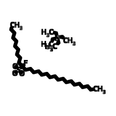 CCCCCCCCCCCCCCCCCCC(F)(CCCCCCCCCC)S(=O)(=O)[O-].CC[N+](CC)(CC)CC